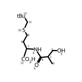 CC(CO)C(=O)NC(CCSCC(C)(C)C)C(=O)O